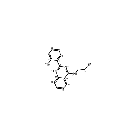 CC(C)(C)CCNc1nc(-c2ccccc2Cl)nc2ccccc12